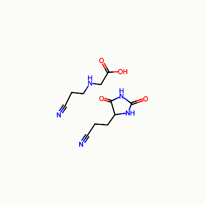 N#CCCC1NC(=O)NC1=O.N#CCCNCC(=O)O